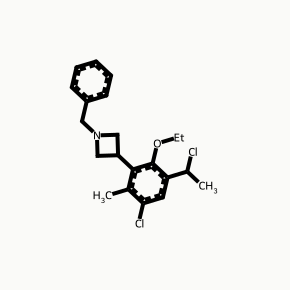 CCOc1c(C(C)Cl)cc(Cl)c(C)c1C1CN(Cc2ccccc2)C1